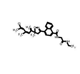 C=C(/C=C(\C=C(/C)Cl)C(F)(F)F)[C@]1(C(F)(F)F)CC(c2ccc(C(=O)NCC(=O)NCC(F)(F)F)c3ccccc23)=NO1